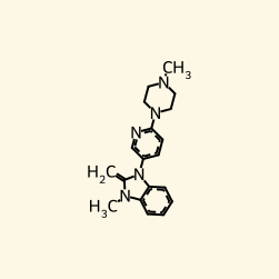 C=C1N(C)c2ccccc2N1c1ccc(N2CCN(C)CC2)nc1